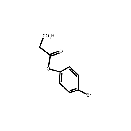 O=C(O)CC(=O)Oc1ccc(Br)cc1